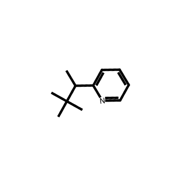 CC(c1ccccn1)C(C)(C)C